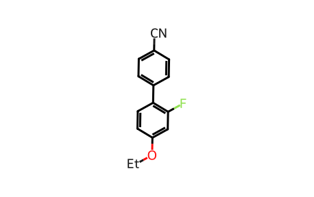 CCOc1ccc(-c2ccc(C#N)cc2)c(F)c1